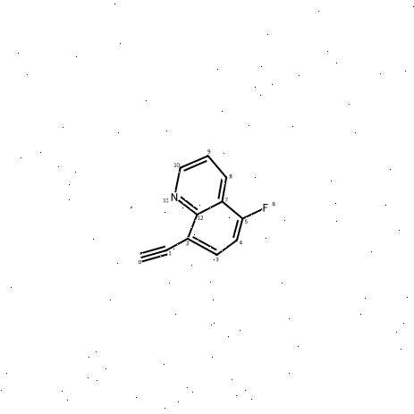 C#Cc1ccc(F)c2cccnc12